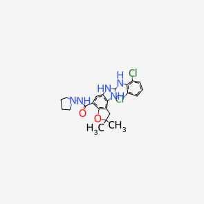 CC1(C)Cc2c3c(cc(C(=O)NN4CCCC4)c2O1)NC(Nc1c(Cl)cccc1Cl)N3